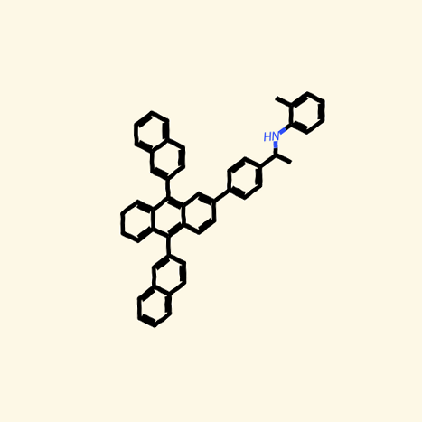 Cc1ccccc1NC(C)c1ccc(-c2ccc3c(-c4ccc5ccccc5c4)c4c(c(-c5ccc6ccccc6c5)c3c2)=CCCC=4)cc1